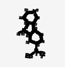 CCN(CC)c1ccc2c3cnccc3n(C)c2c1